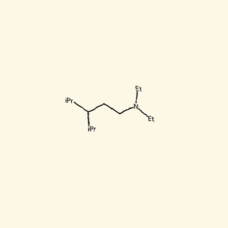 CCN(CC)CCC(C(C)C)C(C)C